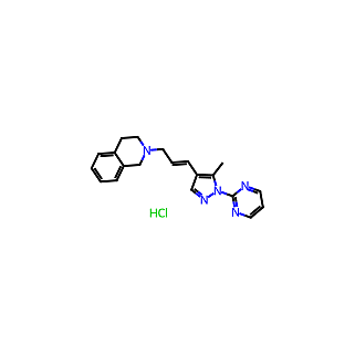 Cc1c(C=CCN2CCc3ccccc3C2)cnn1-c1ncccn1.Cl